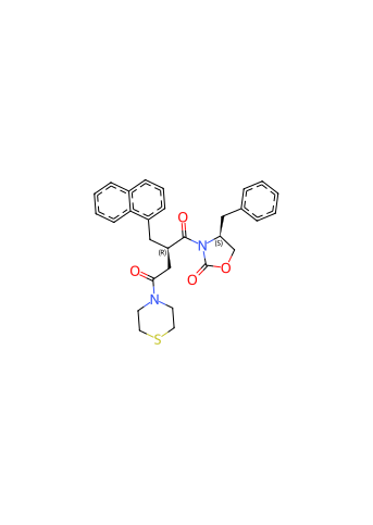 O=C(C[C@@H](Cc1cccc2ccccc12)C(=O)N1C(=O)OC[C@@H]1Cc1ccccc1)N1CCSCC1